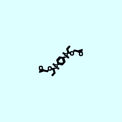 CCC(OCC1CO1)[Si](C)(C)c1ccc([Si](C)(C)C(CC)OCC2CO2)cc1